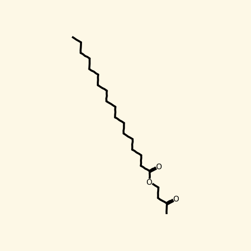 CCCCCCCCCCCCCCCCCC(=O)OCCC(C)=O